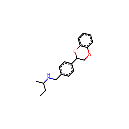 CCC(C)NCc1ccc(C2COc3ccccc3O2)cc1